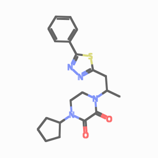 CC(Cc1nnc(-c2ccccc2)s1)N1CCN(C2CCCC2)C(=O)C1=O